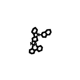 c1ccc2cc(-n3c4ccccc4c4cc5nc6c7ccccc7c7ccccc7n6c5cc43)ccc2c1